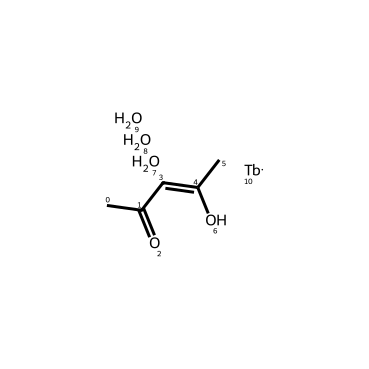 CC(=O)/C=C(/C)O.O.O.O.[Tb]